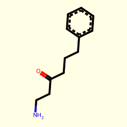 NCCC(=O)CCCc1ccccc1